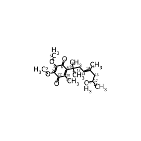 COC1=C(OC)C(=O)C(C(C)(C)C/C=C(\C)CC(C)C)=C(C)C1=O